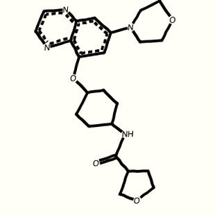 O=C(NC1CCC(Oc2cc(N3CCOCC3)cc3nccnc23)CC1)C1CCOC1